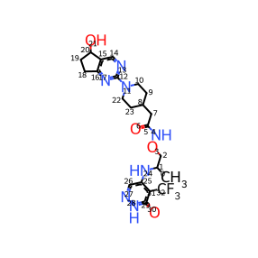 CC(CONC(=O)CC1CCN(c2ncc3c(n2)CCC3O)CC1)Nc1cn[nH]c(=O)c1C(F)(F)F